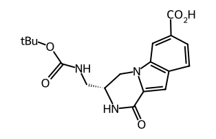 CC(C)(C)OC(=O)NC[C@@H]1Cn2c(cc3ccc(C(=O)O)cc32)C(=O)N1